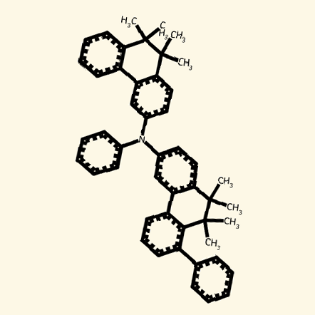 CC1(C)c2ccccc2-c2cc(N(c3ccccc3)c3ccc4c(c3)-c3cccc(-c5ccccc5)c3C(C)(C)C4(C)C)ccc2C1(C)C